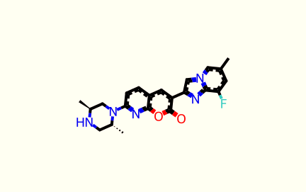 Cc1cc(F)c2nc(-c3cc4ccc(N5C[C@H](C)NC[C@H]5C)nc4oc3=O)cn2c1